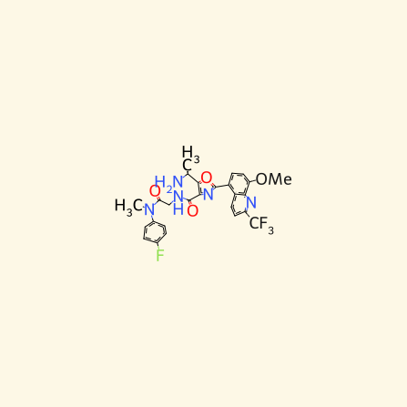 COc1ccc(-c2nc(C(=O)NCC(=O)N(C)c3ccc(F)cc3)c([C@H](C)N)o2)c2ccc(C(F)(F)F)nc12